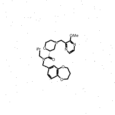 COc1nccnc1CN1CCO[C@@H](C(=O)N(Cc2ccc3c(c2)OCCCO3)CC(C)C)C1